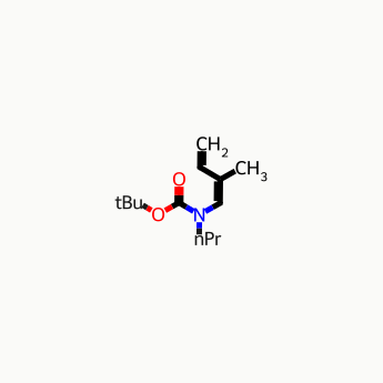 C=C/C(C)=C\N(CCC)C(=O)OC(C)(C)C